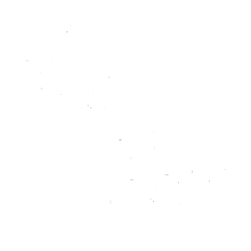 O=C(O)CN(C(=O)c1ccc2c(c1)B(O)OC2)C1CCC(CC2CCC(NC(=O)c3ccc4c(c3)B(O)OC4)CC2)CC1